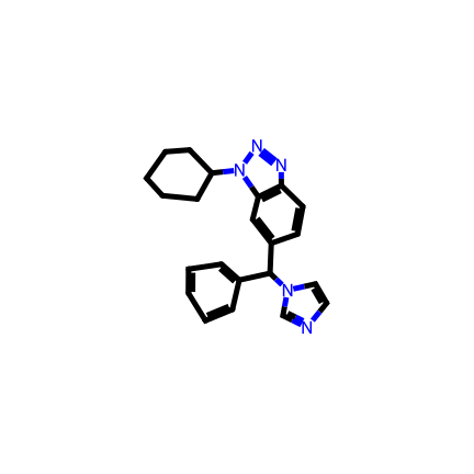 c1ccc(C(c2ccc3nnn(C4CCCCC4)c3c2)n2ccnc2)cc1